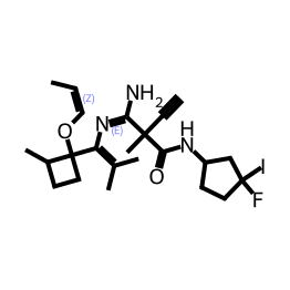 C#CC(C)(C(=O)NC1CCC(F)(I)C1)/C(N)=N\C(=C(C)C)C1(O/C=C\C)CCC1C